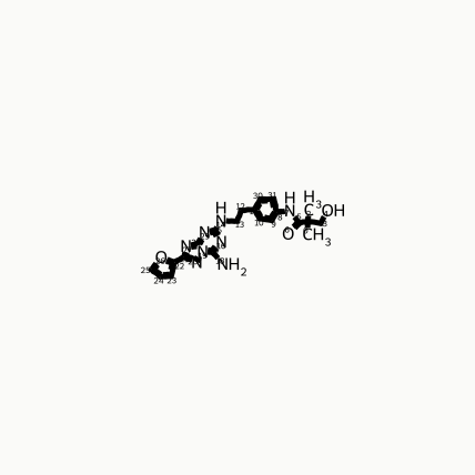 CC(C)(CO)C(=O)Nc1ccc(CCNc2nc(N)n3nc(-c4ccco4)nc3n2)cc1